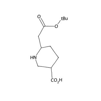 CC(C)(C)OC(=O)CC1CCC(C(=O)O)CN1